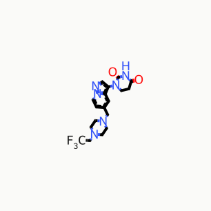 O=C1CCN(c2cnn3ccc(CN4CCN(CC(F)(F)F)CC4)cc23)C(=O)N1